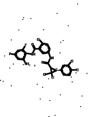 Nc1cc(F)cc(F)c1NC(=O)c1cc(NC(=O)C2[C@H](c3ccc(Cl)c(Cl)c3)C2(Cl)Cl)ccc1Cl